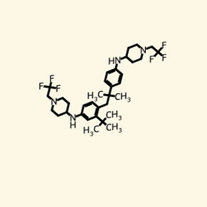 CC(C)(C)c1cc(NC2CCN(CC(F)(F)F)CC2)ccc1CC(C)(C)c1ccc(NC2CCN(CC(F)(F)F)CC2)cc1